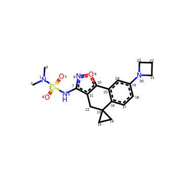 CN(C)S(=O)(=O)Nc1noc2c1CC1(CC1)c1ccc(N3CCC3)cc1-2